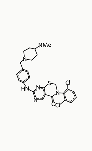 CNC1CCN(Cc2ccc(Nc3ncc4c(n3)SCN(c3c(Cl)cccc3Cl)C4=O)cc2)CC1